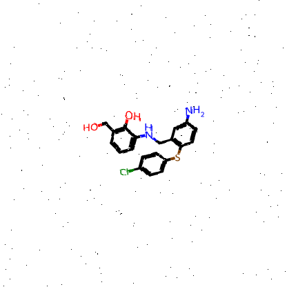 Nc1ccc(Sc2ccc(Cl)cc2)c(CNc2cccc(CO)c2O)c1